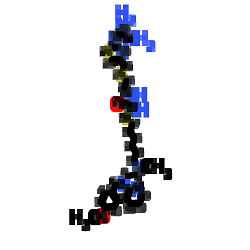 COc1ccc(CN(CCN(C)CCCCCCSNC(=O)NCCSCc2csc(N=C(N)N)n2)c2ccccn2)cc1